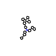 c1ccc(-c2ccc3cc(N(c4ccc(-c5ccc6c(c5)c(-c5ccccc5)c(-c5ccccc5)c5ccccc56)cc4)c4cccc(-c5cccc6ccccc56)c4)ccc3c2)cc1